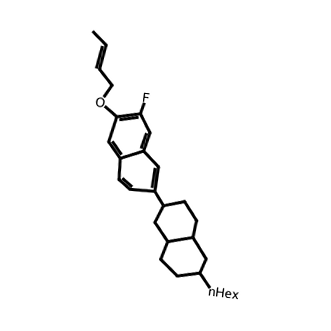 C/C=C/COc1cc2ccc(C3CCC4CC(CCCCCC)CCC4C3)cc2cc1F